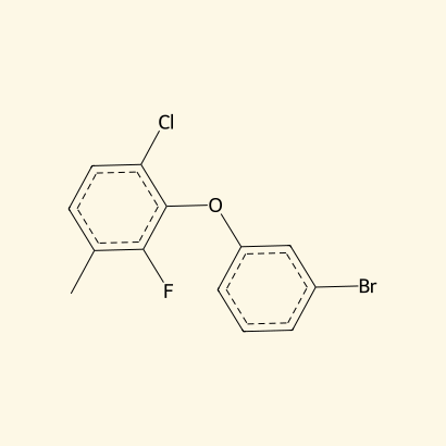 Cc1ccc(Cl)c(Oc2cccc(Br)c2)c1F